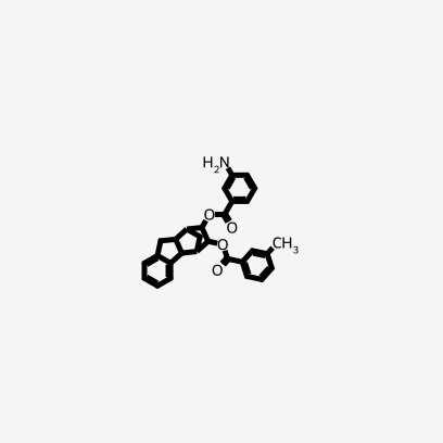 Cc1cccc(C(=O)OC2C3CC(C4Cc5ccccc5C43)C2OC(=O)c2cccc(N)c2)c1